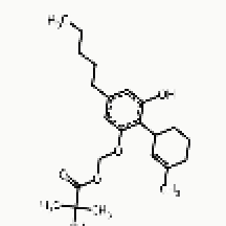 CCCCCc1cc(O)c(C2C=C(C)CCC2)c(OCOC(=O)C(C)(C)C)c1